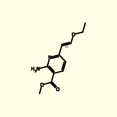 CCO/C=C/c1ccc(C(=O)OC)c(N)n1